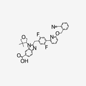 CC1(C)COCC1n1c(Cc2cc(F)c(-c3cccc(OCc4ccccc4C#N)n3)cc2F)nc2ccc(C(=O)O)cc21